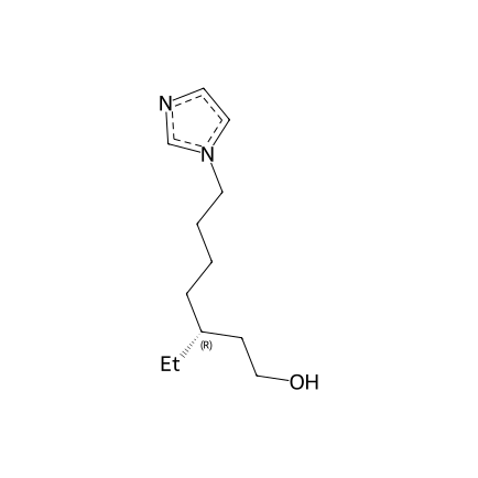 CC[C@@H](CCO)CCCCn1ccnc1